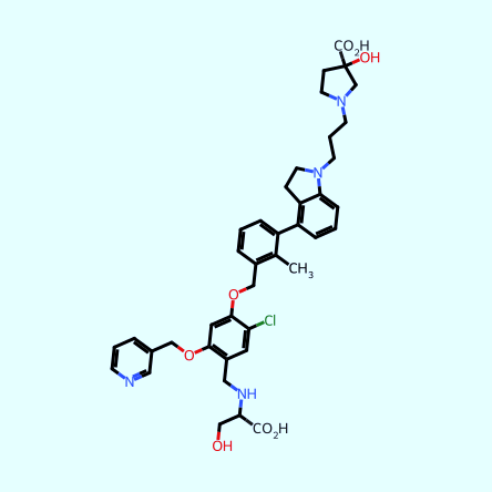 Cc1c(COc2cc(OCc3cccnc3)c(CNC(CO)C(=O)O)cc2Cl)cccc1-c1cccc2c1CCN2CCCN1CCC(O)(C(=O)O)C1